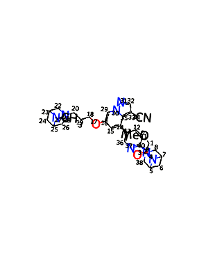 COCC(=O)N1C2CC1CN(c1ccc(-c3cc(OCCCN4CC5CC(C4)N5C)cn4ncc(C#N)c34)cn1)C2